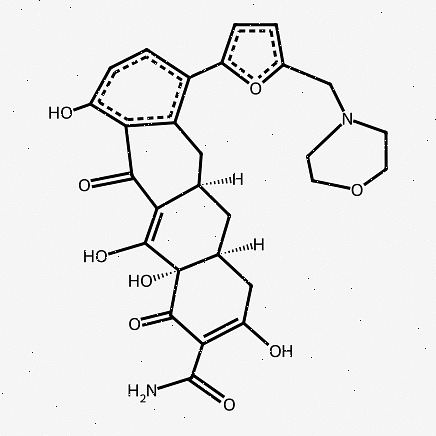 NC(=O)C1=C(O)C[C@@H]2C[C@@H]3Cc4c(-c5ccc(CN6CCOCC6)o5)ccc(O)c4C(=O)C3=C(O)[C@]2(O)C1=O